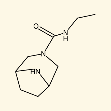 CCNC(=O)N1CC2CCC(C1)NC2